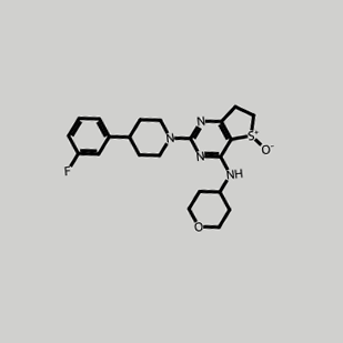 [O-][S+]1CCc2nc(N3CCC(c4cccc(F)c4)CC3)nc(NC3CCOCC3)c21